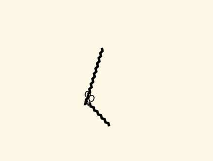 CCCCCCCCCCCCCCCCCCOC(=O)CN(C)CCCCCCCCCCCC